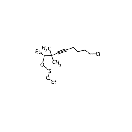 CCOSO[C@@H](CC)C(C)(C)C#CCCCCCl